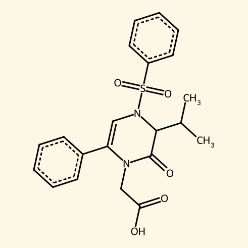 CC(C)C1C(=O)N(CC(=O)O)C(c2ccccc2)=CN1S(=O)(=O)c1ccccc1